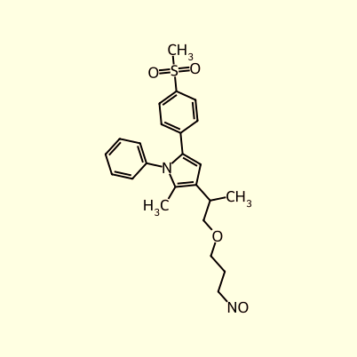 Cc1c(C(C)COCCCN=O)cc(-c2ccc(S(C)(=O)=O)cc2)n1-c1ccccc1